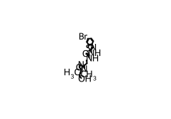 CC(C)(CO)c1nc(CCNC(=O)Nc2nc3ccc(Br)cc3s2)no1